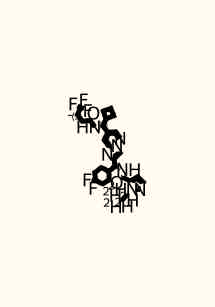 [2H]C([2H])([2H])C([2H])([2H])n1nccc1C(=O)N[C@H](c1cn2ncc([C@H](NC(=O)C[C@H](C)C(F)(F)F)C3CCC3)cc2n1)C1CCC(F)(F)CC1